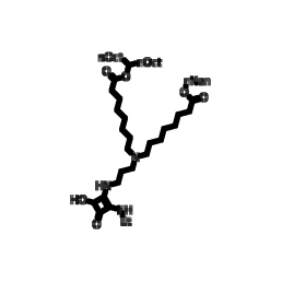 CCCCCCCCCOC(=O)CCCCCCCN(CCCCCCCC(=O)OC(CCCCCCCC)CCCCCCCC)CCCNC1=C(NCC)C(=O)C1O